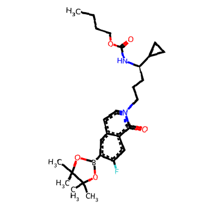 CCCCOC(=O)N[C@H](CCCn1ccc2cc(B3OC(C)(C)C(C)(C)O3)c(F)cc2c1=O)C1CC1